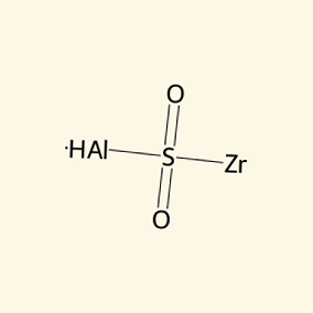 O=[S](=O)([AlH])[Zr]